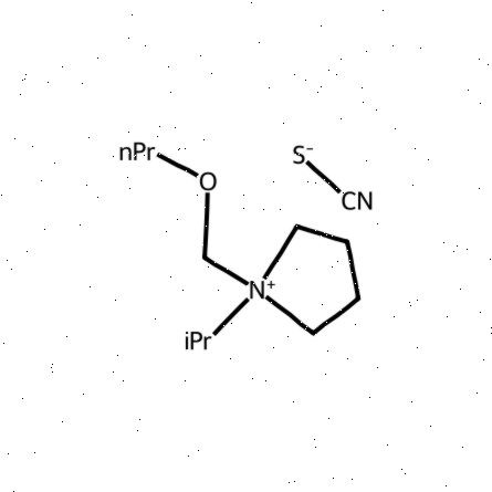 CCCOC[N+]1(C(C)C)CCCC1.N#C[S-]